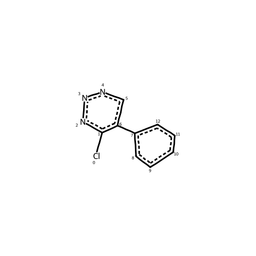 Clc1nnncc1-c1ccccc1